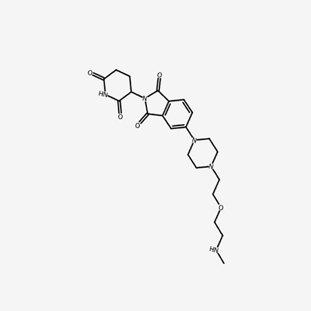 CNCCOCCN1CCN(c2ccc3c(c2)C(=O)N(C2CCC(=O)NC2=O)C3=O)CC1